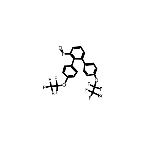 O=Pc1cccc(-c2ccc(OC(F)(F)C(F)(F)Br)cc2)c1-c1ccc(OC(F)(F)C(F)(F)Br)cc1